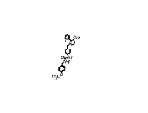 COc1ccc(CNC(=O)Nc2ccc(CN3CCC(O)C3c3ccccn3)cc2)cc1